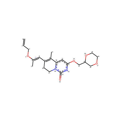 C=CCO/C(C)=C/C1=C(C)c2cc(OCC3COCCO3)nc(=O)n2CC1